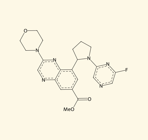 COC(=O)c1cc(C2CCCN2c2cncc(F)n2)c2nc(N3CCOCC3)cnc2c1